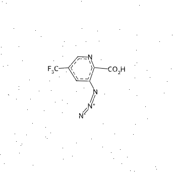 [N-]=[N+]=Nc1cc(C(F)(F)F)cnc1C(=O)O